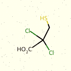 O=C(O)C(Cl)(Cl)CS